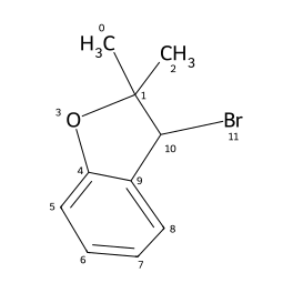 CC1(C)Oc2ccccc2C1Br